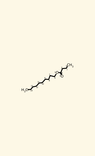 CC[CH]C(=O)OCCCCCCCCCC